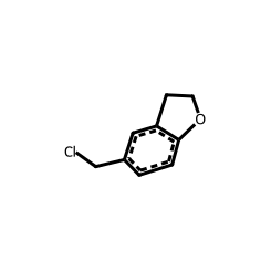 ClCc1ccc2c(c1)CCO2